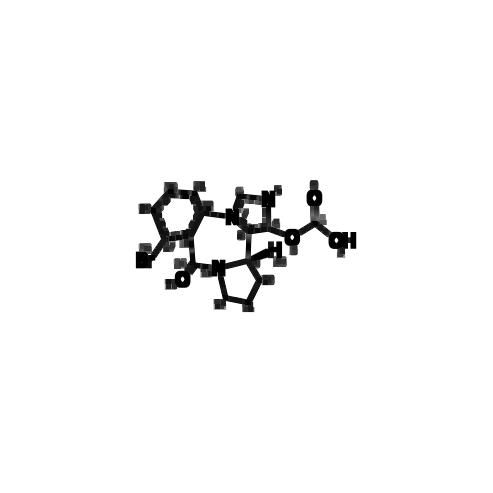 O=C(O)Oc1ncn2c1[C@@H]1CCCN1C(=O)c1c(Br)cccc1-2